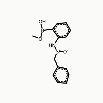 COB(O)c1ccccc1N[S+]([O-])Cc1ccccc1